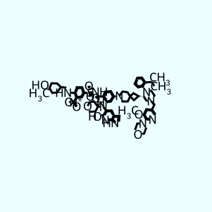 COc1cc(CN2CCN(c3ccccc3C(C)C)[C@@H](C3CC4(CCN(c5ccc(C(=O)NS(=O)(=O)c6ccc(NCC7CCC(C)(O)CC7)c([N+](=O)[O-])c6)c(N6c7cc8cc[nH]c8nc7O[C@H]7COCC[C@@H]76)c5)CC4)C3)C2)cnc1N1CCOCC1